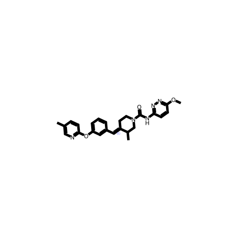 COc1ccc(NC(=O)N2CC/C(=C\c3cccc(Oc4ccc(C)cn4)c3)C(C)C2)nn1